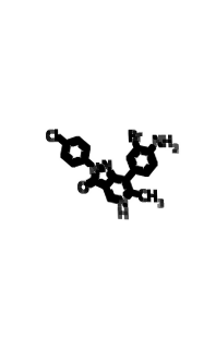 Cc1[nH]cc2c(=O)n(-c3ccc(Cl)cc3)nc-2c1-c1ccc(N)c(Br)c1